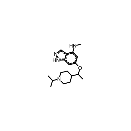 CNc1cc(OC(C)C2CCN(C(C)C)CC2)cc2[nH]ncc12